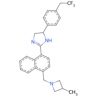 CC1CN(Cc2ccc(C3=NCC(c4ccc(CC(F)(F)F)cc4)N3)c3ccccc23)C1